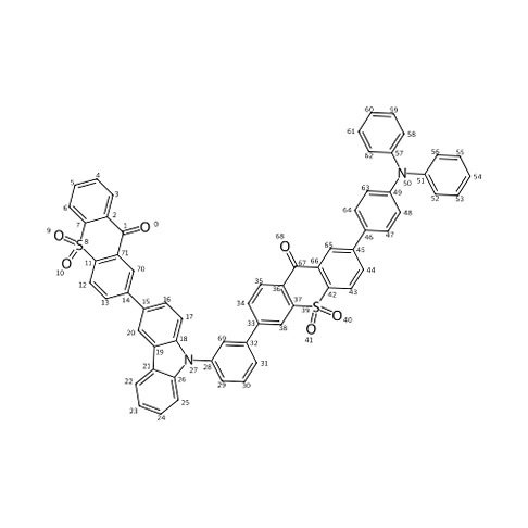 O=C1c2ccccc2S(=O)(=O)c2ccc(-c3ccc4c(c3)c3ccccc3n4-c3cccc(-c4ccc5c(c4)S(=O)(=O)c4ccc(-c6ccc(N(c7ccccc7)c7ccccc7)cc6)cc4C5=O)c3)cc21